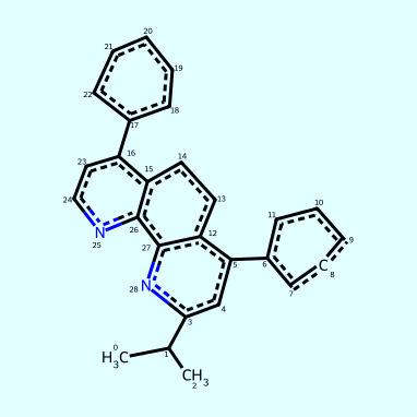 CC(C)c1cc(-c2ccccc2)c2ccc3c(-c4ccccc4)ccnc3c2n1